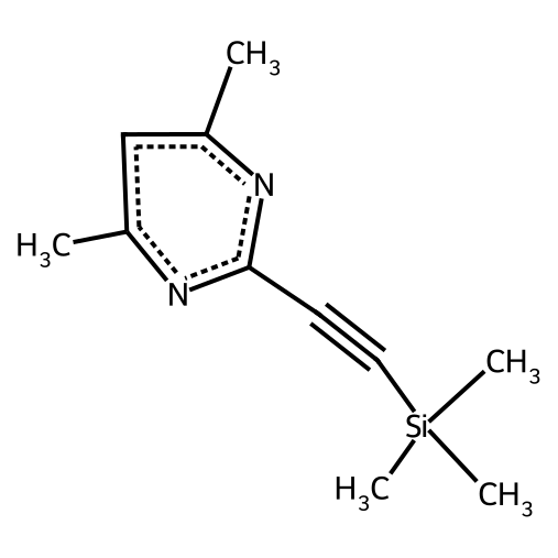 Cc1cc(C)nc(C#C[Si](C)(C)C)n1